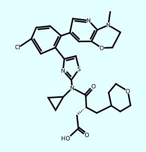 CN1CCOc2cc(-c3ccc(Cl)cc3-c3csc(N(C(=O)[C@@H](CC(=O)O)CC4CCOCC4)C4CC4)n3)cnc21